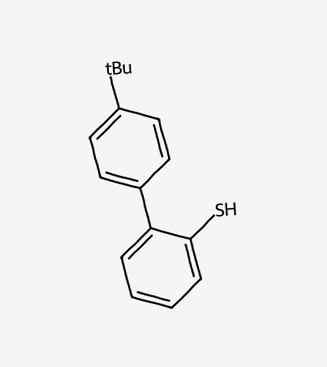 CC(C)(C)c1ccc(-c2ccccc2S)cc1